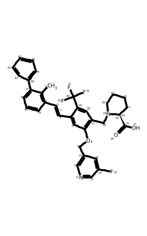 Cc1c(/C=C/c2cc(OCc3cncc(F)c3)c(CN3CCCC[C@H]3C(=O)O)cc2C(F)(F)F)cccc1-c1ccccc1